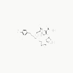 COc1ccc(CCCCOCCN(C)C(=O)[C@@H]2C[C@H](SC3=C(C(=O)O)N4C(=O)[C@H]([C@@H](C)O)C4[C@H]3C)CN2)cc1OC